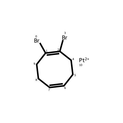 BrC1=C(Br)CCC=CCC1.[Pt+2]